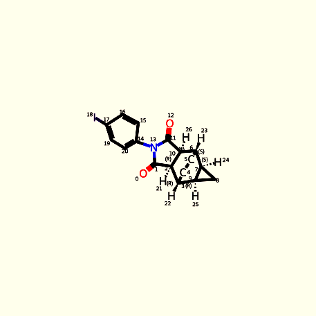 O=C1[C@@H]2[C@@H]3CC[C@@H]([C@H]4C[C@H]43)[C@@H]2C(=O)N1c1ccc(I)cc1